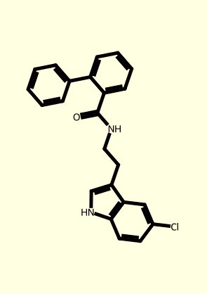 O=C(NCCc1c[nH]c2ccc(Cl)cc12)c1ccccc1-c1ccccc1